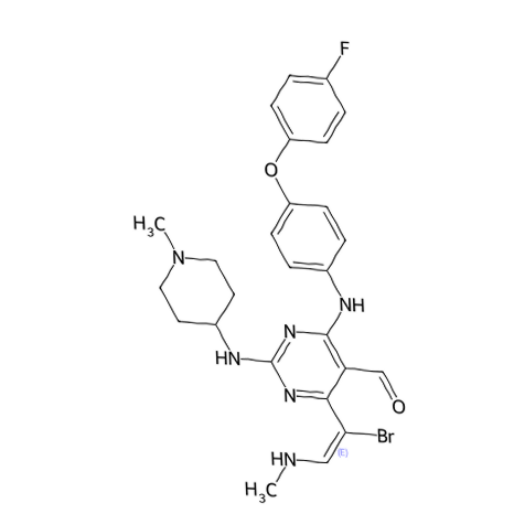 CN/C=C(/Br)c1nc(NC2CCN(C)CC2)nc(Nc2ccc(Oc3ccc(F)cc3)cc2)c1C=O